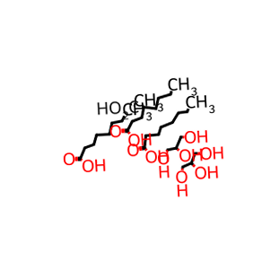 CC(=O)O.CCCCCCCC(=O)O.CCCCCCCC(=O)O.CCCCCCCC(=O)O.OCC(O)CO.OCC(O)CO